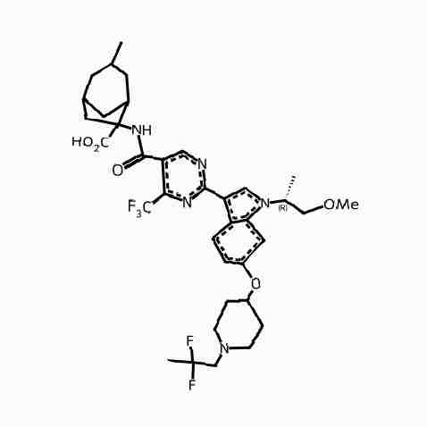 COC[C@@H](C)n1cc(-c2ncc(C(=O)NC3(C(=O)O)CC4CC(C)CC3C4)c(C(F)(F)F)n2)c2ccc(OC3CCN(CC(C)(F)F)CC3)cc21